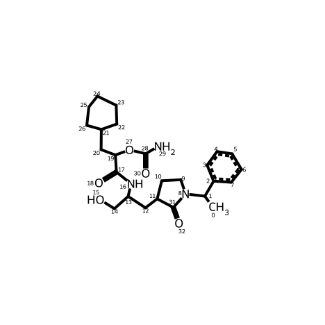 CC(c1ccccc1)N1CCC(CC(CO)NC(=O)C(CC2CCCCC2)OC(N)=O)C1=O